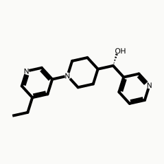 CCc1cncc(N2CCC([C@H](O)c3cccnc3)CC2)c1